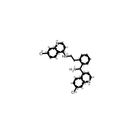 NC(c1ccccc1CCNc1ccnc2cc(Cl)ccc12)c1ccnc2cc(Cl)ccc12